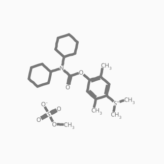 COS(=O)(=O)[O-].Cc1cc([S+](C)C)c(C)cc1OC(=O)N(C1CCCCC1)C1CCCCC1